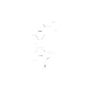 CNc1nc(Nc2ccc(C(=O)N3CCOC(C)C3)cc2OC)nc2[nH]cc(C#N)c12